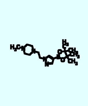 CN1CCN(CCn2cc(B3OC(C)(C)C(C)(C)O3)cn2)CC1